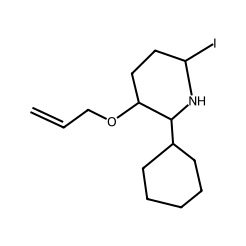 C=CCOC1CCC(I)NC1C1CCCCC1